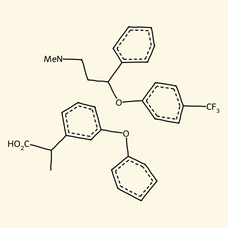 CC(C(=O)O)c1cccc(Oc2ccccc2)c1.CNCCC(Oc1ccc(C(F)(F)F)cc1)c1ccccc1